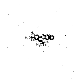 CC(C)(C)c1cc2cc(C(C)(C)C)n3c4cc5c(cc4nc3c2cn1)C1CCC5C1